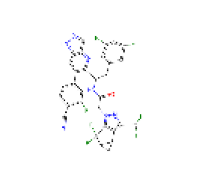 N#Cc1ccc(-c2cc3[nH]ncc3nc2C(Cc2cc(F)cc(F)c2)NC(=O)Cn2nc(C(F)F)c3c2C(F)(F)C2CC32)cc1F